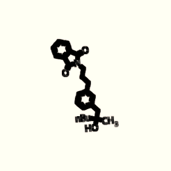 CCCCC(C)(O)Cc1cccc(CCCN2C(=O)c3ccccc3C2=O)c1